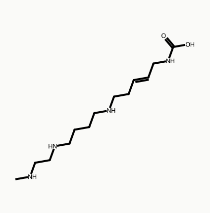 CNCCNCCCCNCC/C=C/CNC(=O)O